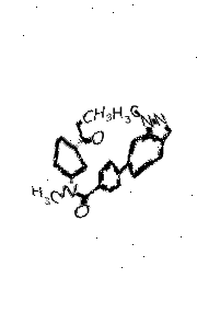 CCC(=O)[C@H]1CC[C@@H](N(C)C(=O)c2ccc(-c3ccc4cnn(C)c4c3)cc2)C1